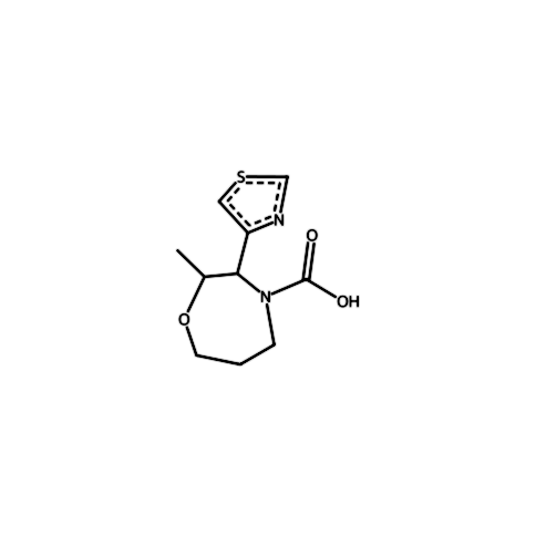 CC1OCCCN(C(=O)O)C1c1cscn1